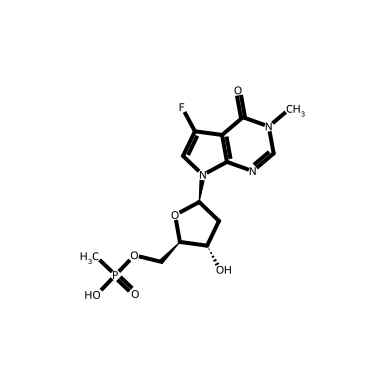 Cn1cnc2c(c(F)cn2[C@H]2C[C@H](O)[C@@H](COP(C)(=O)O)O2)c1=O